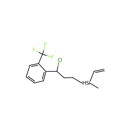 C=C[SiH](C)CCCC(Cl)c1ccccc1C(F)(F)F